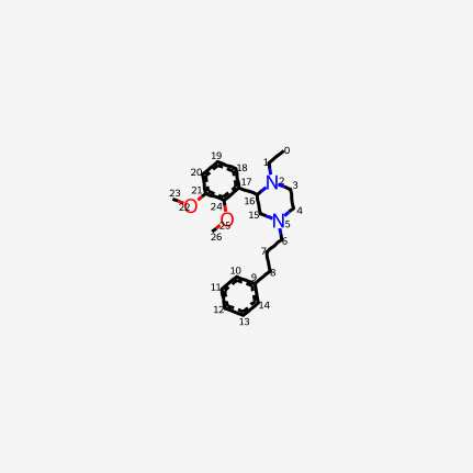 CCN1CCN(CCCc2ccccc2)CC1c1cccc(OC)c1OC